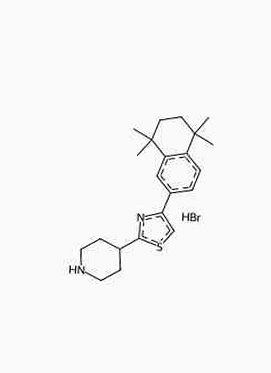 Br.CC1(C)CCC(C)(C)c2cc(-c3csc(C4CCNCC4)n3)ccc21